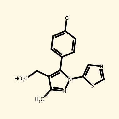 Cc1nn(-c2cncs2)c(-c2ccc(Cl)cc2)c1CC(=O)O